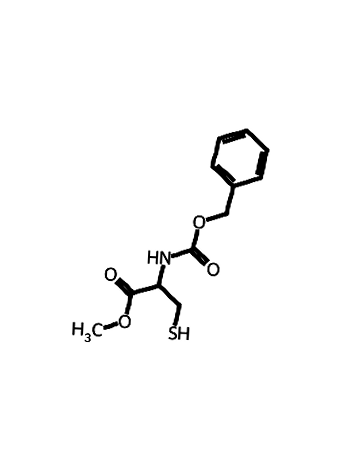 COC(=O)C(CS)NC(=O)OCc1ccccc1